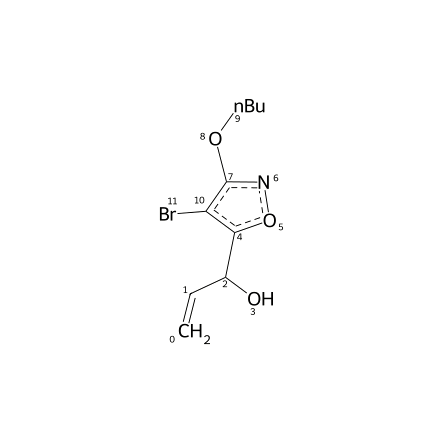 C=CC(O)c1onc(OCCCC)c1Br